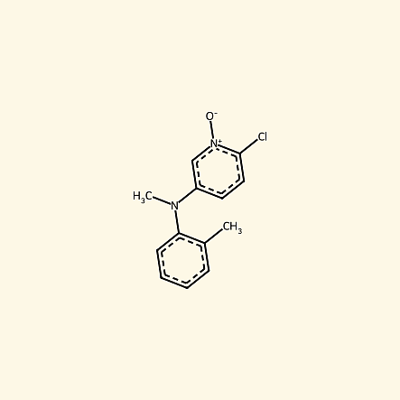 Cc1ccccc1N(C)c1ccc(Cl)[n+]([O-])c1